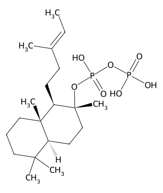 C/C=C(\C)CC[C@@H]1[C@@]2(C)CCCC(C)(C)[C@@H]2CC[C@@]1(C)OP(=O)(O)OP(=O)(O)O